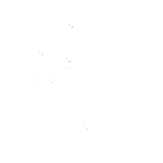 Cn1c(/N=C(\N)OCc2nc3ccc(Cl)cc3o2)c(N)c2ccccc21